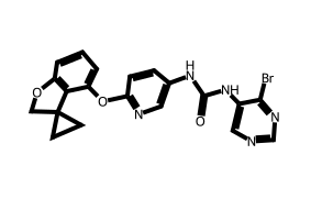 O=C(Nc1ccc(Oc2cccc3c2C2(CC2)CO3)nc1)Nc1cncnc1Br